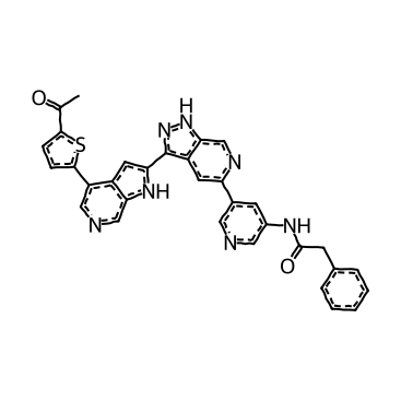 CC(=O)c1ccc(-c2cncc3[nH]c(-c4n[nH]c5cnc(-c6cncc(NC(=O)Cc7ccccc7)c6)cc45)cc23)s1